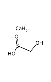 O=S(O)CO.[CaH2]